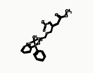 COC(=O)CC(COCCO[Si](c1ccccc1)(c1ccccc1)C(C)(C)C)C[N+](=O)[O-]